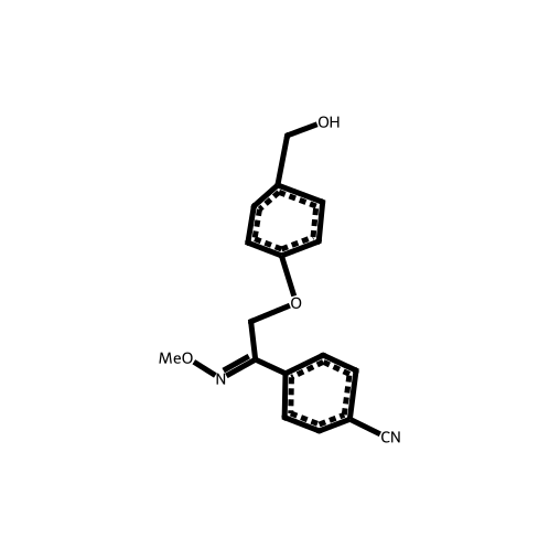 CO/N=C(\COc1ccc(CO)cc1)c1ccc(C#N)cc1